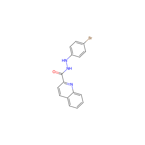 O=C(NNc1ccc(Br)cc1)c1ccc2ccccc2n1